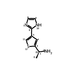 C[C@H](N)c1cc(-c2ncc[nH]2)cs1